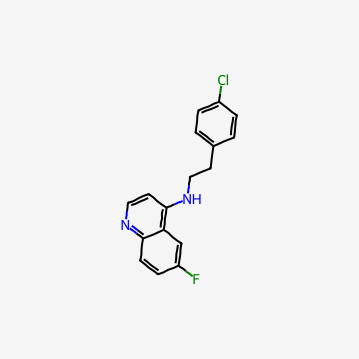 Fc1ccc2nccc(NCCc3ccc(Cl)cc3)c2c1